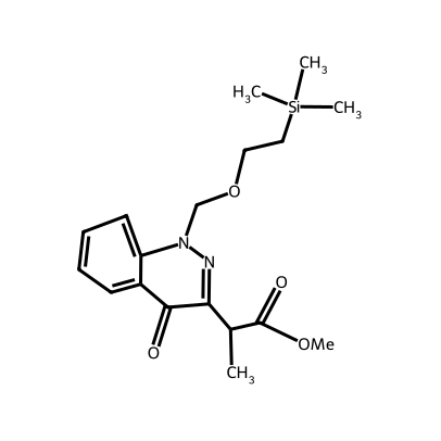 COC(=O)C(C)c1nn(COCC[Si](C)(C)C)c2ccccc2c1=O